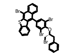 BrC[C@@H](Cc1ccccc1)Oc1c(Br)cc(-c2c3ccccc3c(Br)c3sc4ccccc4c23)cc1Br